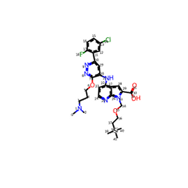 CN(C)CCCOc1nnc(-c2cc(Cl)ccc2F)cc1Nc1ccnc2c1cc(C(=O)O)n2COCC[Si](C)(C)C